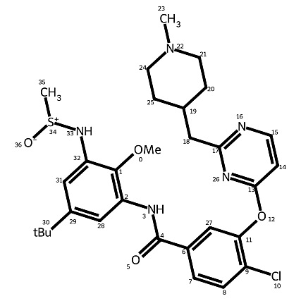 COc1c(NC(=O)c2ccc(Cl)c(Oc3ccnc(CC4CCN(C)CC4)n3)c2)cc(C(C)(C)C)cc1N[S+](C)[O-]